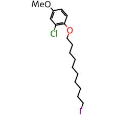 COc1ccc(OCCCCCCCCCCI)c(Cl)c1